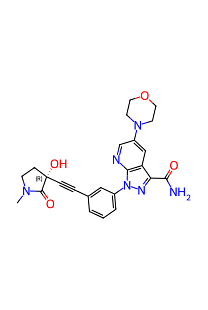 CN1CC[C@@](O)(C#Cc2cccc(-n3nc(C(N)=O)c4cc(N5CCOCC5)cnc43)c2)C1=O